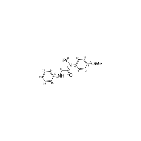 COc1ccc(N(C(=O)CNc2ccccc2)C(C)C)cc1